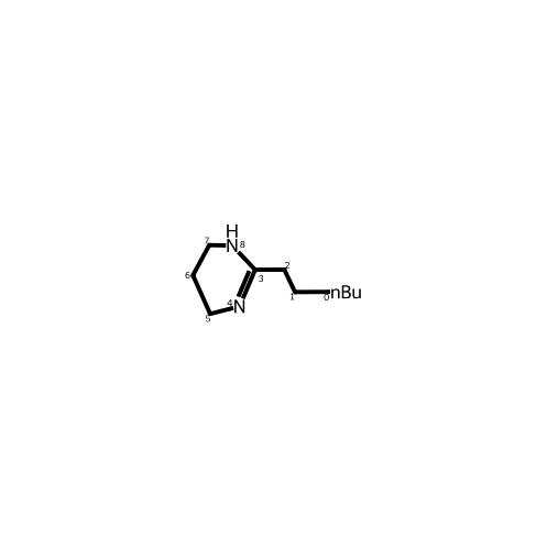 CCCCCCC1=NCCCN1